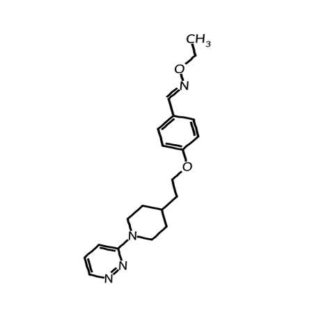 CCON=Cc1ccc(OCCC2CCN(c3cccnn3)CC2)cc1